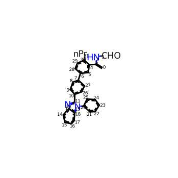 C=C(NC=O)c1cc(-c2ccc(-c3nc4ccccc4n3-c3ccccc3)cc2)ccc1CCC